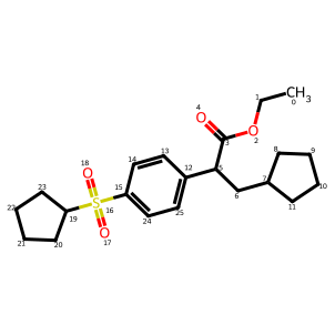 CCOC(=O)C(CC1CCCC1)c1ccc(S(=O)(=O)C2CCCC2)cc1